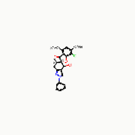 COc1cc(OC)c2c(c1Cl)O[C@]1(C2=O)C(O)c2cn(-c3ccccc3)nc2C[C@H]1C